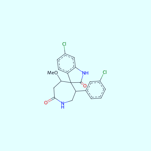 COC1CC(=O)NCC(c2cccc(Cl)c2)C12C(=O)Nc1cc(Cl)ccc12